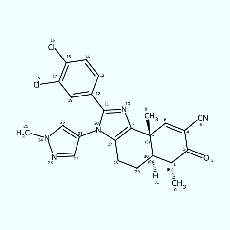 C[C@H]1C(=O)C(C#N)=C[C@@]2(C)c3nc(-c4ccc(Cl)c(Cl)c4)n(-c4cnn(C)c4)c3CC[C@H]12